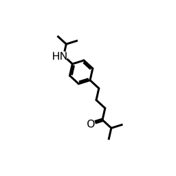 CC(C)Nc1ccc(CCCC(=O)C(C)C)cc1